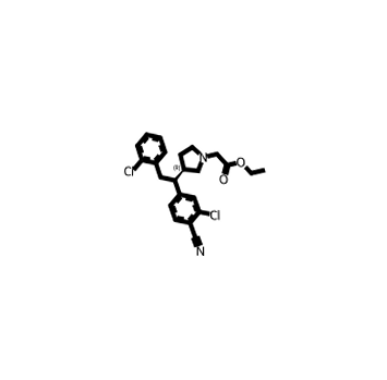 CCOC(=O)CN1CC[C@H](C(Cc2ccccc2Cl)c2ccc(C#N)c(Cl)c2)C1